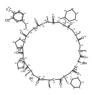 CC[C@H](C)[C@@H]1NC(=O)[C@H](C2CCCCC2)N(C)C(=O)C[C@@H](C)NC(=O)[C@H](C(C)C)N(C)C(=O)C2(CCCC2)NC(=O)[C@@H]2CCCN2C(=O)[C@H](CCc2ccc(C(F)(F)F)c(Cl)c2)NC(=O)CN(C)C(=O)[C@H](CC2CCCCC2)N(C)C(=O)CN(C)C(=O)CN(C)C1=O